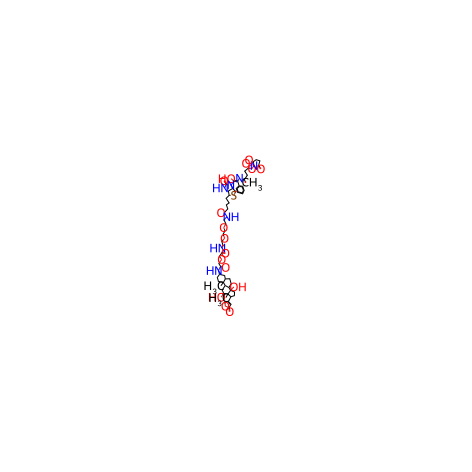 C/C(CCC(=O)ON1C(=O)CCC1=O)=N\C(=C(/O)N1C(=O)NC2C(CCCCC(=O)NCCOCCOCCNC(=O)COCC(=O)NC3CCC4(C)C(CCC5C4CC(O)C4(C)C(C6=CC(=O)OC6)CCC54O)C3)SCC21)c1ccccc1